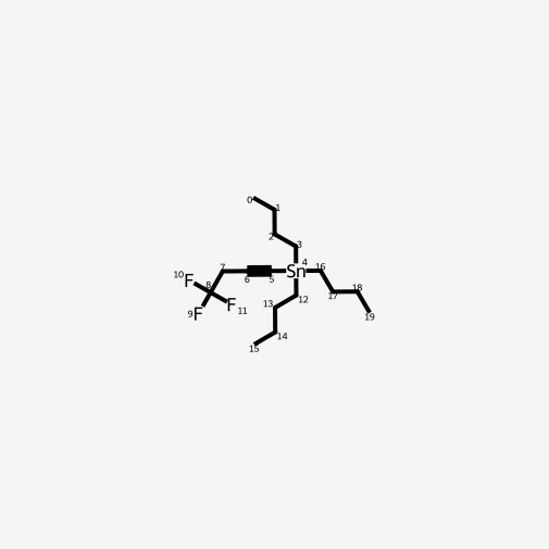 CCC[CH2][Sn]([C]#CCC(F)(F)F)([CH2]CCC)[CH2]CCC